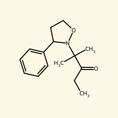 CCC(=O)C(C)(C)N1OCCC1c1ccccc1